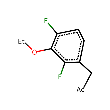 CCOc1c(F)ccc(CC(C)=O)c1F